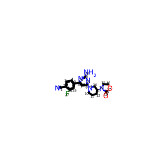 N#Cc1ccc(-c2cc(N3CCC[C@@H](N4CCOC4=O)C3)nc(N)n2)cc1F